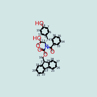 O=C(O)[C@H](Cc1ccc(O)cc1)N(C(=O)OCC1c2ccccc2-c2ccccc21)C(=O)c1ccccc1